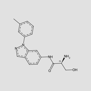 Cc1cccc(-n2ncc3ccc(NC(=O)[C@@H](N)CO)cc32)c1